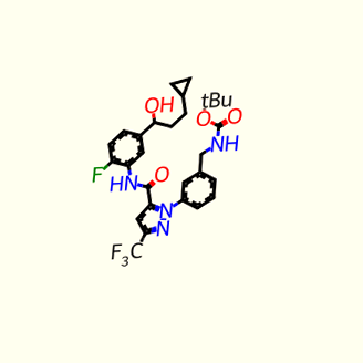 CC(C)(C)OC(=O)NCc1cccc(-n2nc(C(F)(F)F)cc2C(=O)Nc2cc(C(O)CCC3CC3)ccc2F)c1